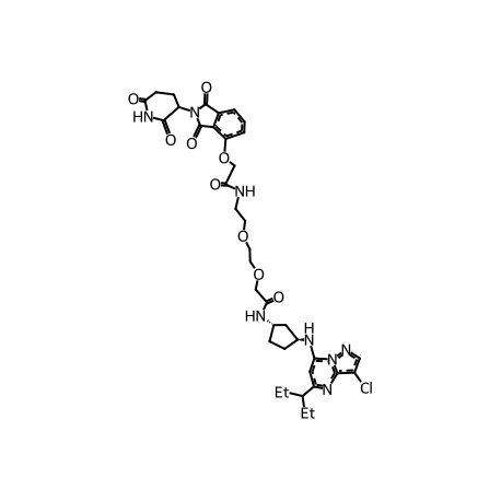 CCC(CC)c1cc(N[C@H]2CC[C@H](NC(=O)COCCOCCNC(=O)COc3cccc4c3C(=O)N(C3CCC(=O)NC3=O)C4=O)C2)n2ncc(Cl)c2n1